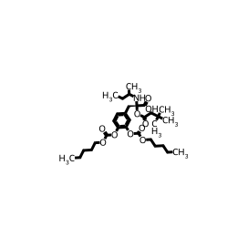 CCCCCOC(=O)Oc1ccc(C[C@](NC(C)CC)(OC(=O)CC(C)(C)C)C(=O)O)cc1OC(=O)OCCCCC